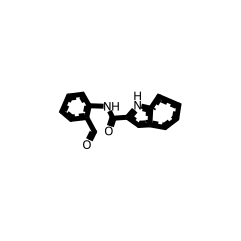 O=Cc1ccccc1NC(=O)c1cc2ccccc2[nH]1